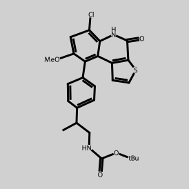 COc1cc(Cl)c2[nH]c(=O)c3sccc3c2c1-c1ccc(C(C)CNC(=O)OC(C)(C)C)cc1